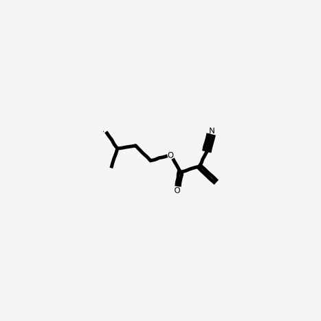 [CH2]C(C)CCOC(=O)C(=C)C#N